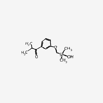 CC(C)C(=O)c1cccc(OC[Si](C)(C)O)c1